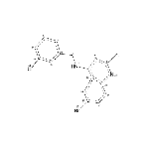 Cc1nc(NCc2cccc(Cl)c2)c2cc(Br)ccc2n1